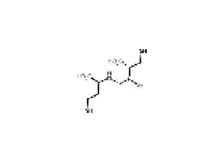 CC(=O)N([Se]N[C@@H](CCS)C(=O)O)[C@@H](CS)C(=O)O